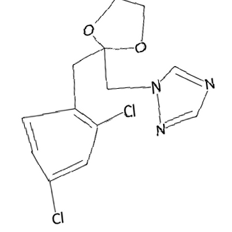 Clc1ccc(CC2(Cn3cncn3)OCCO2)c(Cl)c1